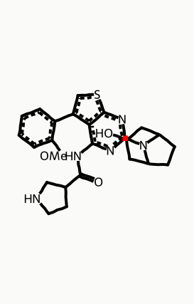 COc1ccccc1-c1csc2nc(N3C4CCC3CC(O)C4)nc(NC(=O)C3CCNC3)c12